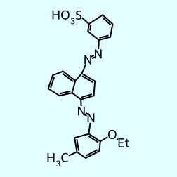 CCOc1ccc(C)cc1N=Nc1ccc(N=Nc2cccc(S(=O)(=O)O)c2)c2ccccc12